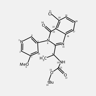 COc1cncc(-n2c(C(C)NC(=O)OC(C)(C)C)nc3cccc(Cl)c3c2=O)c1